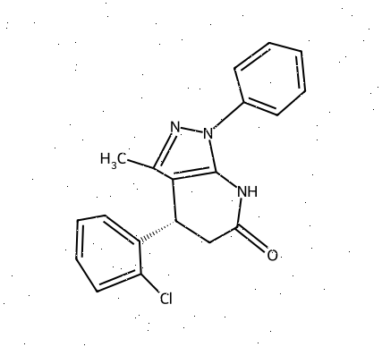 Cc1nn(-c2ccccc2)c2c1[C@@H](c1ccccc1Cl)CC(=O)N2